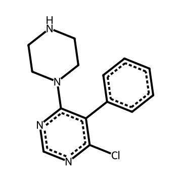 Clc1ncnc(N2CCNCC2)c1-c1ccccc1